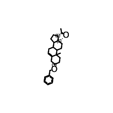 CC(=O)[C@H]1CCC2C3CC=C4C[C@@H](OCc5ccccc5)CCC4(C)C3CC[C@@]21C